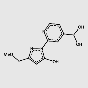 COCc1cc(O)n(-c2cc(C(O)O)ccn2)n1